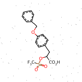 O=C(O)C(Cc1ccc(OCc2ccccc2)cc1)OS(=O)(=O)C(F)(F)F